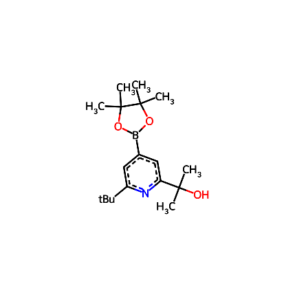 CC(C)(C)c1cc(B2OC(C)(C)C(C)(C)O2)cc(C(C)(C)O)n1